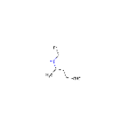 CC(C)CNC(C)CCC=O